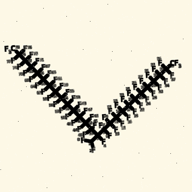 F[C](F)C(F)(C(F)(F)C(F)(F)C(F)(F)C(F)(F)C(F)(F)C(F)(F)C(F)(F)C(F)(F)C(F)(F)C(F)(F)C(F)(F)C(F)(F)F)C(F)(F)C(F)(F)C(F)(F)C(F)(F)C(F)(F)C(F)(F)C(F)(F)C(F)(F)C(F)(F)C(F)(F)C(F)(F)C(F)(F)C(F)(F)C(F)(F)F